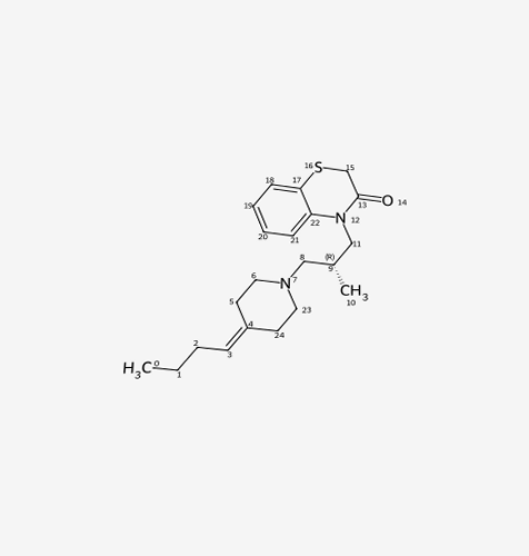 CCCC=C1CCN(C[C@@H](C)CN2C(=O)CSc3ccccc32)CC1